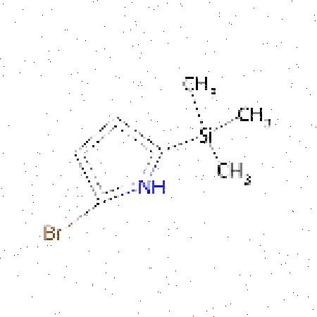 C[Si](C)(C)c1ccc(Br)[nH]1